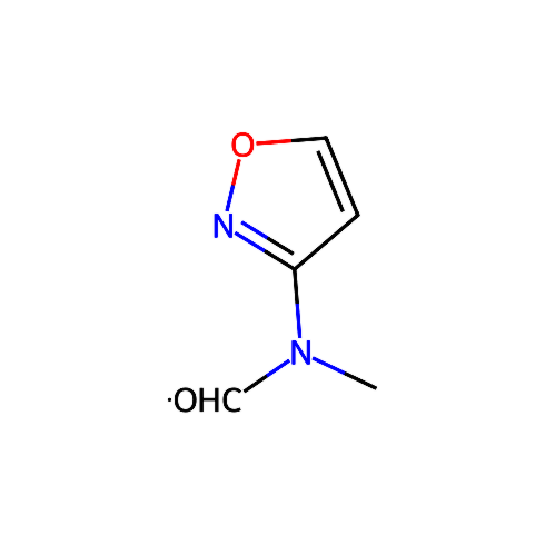 CN([C]=O)c1ccon1